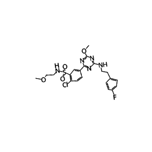 COCCNS(=O)(=O)c1cc(-c2nc(NCCc3ccc(F)cc3)nc(OC)n2)ccc1Cl